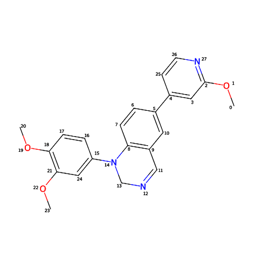 COc1cc(-c2ccc3c(c2)C=NCN3c2ccc(OC)c(OC)c2)ccn1